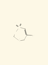 CC(C)C1=CS(=O)(=O)CCNC1